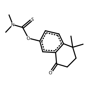 CN(C)C(=S)Oc1ccc2c(c1)C(=O)CCC2(C)C